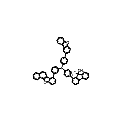 CC1(C)c2ccccc2-c2cccc(-c3ccc(N(c4ccc(-c5ccc6oc7ccccc7c6c5)cc4)c4cccc(-c5cccc6oc7c8ccccc8ccc7c56)c4)cc3)c21